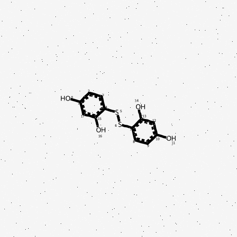 Oc1ccc(SSc2ccc(O)cc2O)c(O)c1